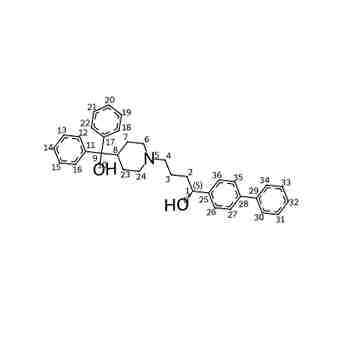 O[C@@H](CCCN1CCC(C(O)(c2ccccc2)c2ccccc2)CC1)c1ccc(-c2ccccc2)cc1